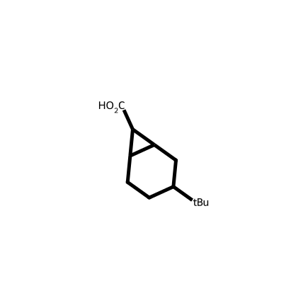 CC(C)(C)C1CCC2C(C1)C2C(=O)O